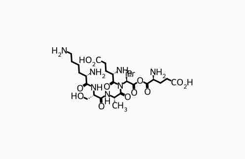 CC(C)[C@@H](C(=O)OC(=O)[C@@H](N)CCC(=O)O)N(C(=O)[C@H](C)NC(=O)[C@H](CO)NC(=O)[C@@H](N)CCCCN)C(=O)[C@@H](N)CCC(=O)O